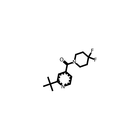 CC(C)(C)c1cc(C(=O)N2CCC(F)(F)CC2)ccn1